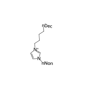 CCCCCCCCCCCCCC[n+]1ccn(CCCCCCCCC)c1